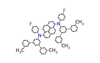 Cc1cccc(-c2cc(-c3cccc(C)c3)cc(N(c3ccc(F)cc3)c3ccc4ccc5c(N(c6ccc(F)cc6)c6cc(-c7cccc(C)c7)cc(-c7cccc(C)c7)c6)ccc6ccc3c4c65)c2)c1